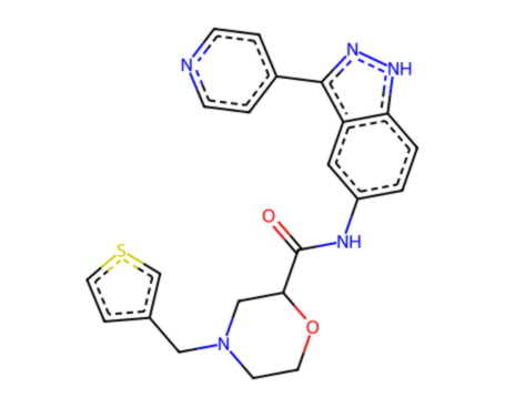 O=C(Nc1ccc2[nH]nc(-c3ccncc3)c2c1)C1CN(Cc2ccsc2)CCO1